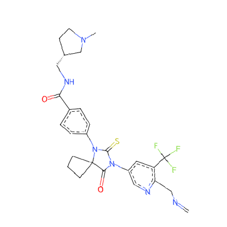 C=NCc1ncc(N2C(=O)C3(CCC3)N(c3ccc(C(=O)NC[C@@H]4CCN(C)C4)cc3)C2=S)cc1C(F)(F)F